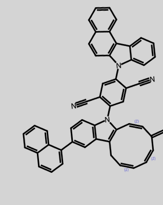 C=C1/C=C\C=C/Cc2c(n(-c3cc(C#N)c(-n4c5ccccc5c5c6ccccc6ccc54)cc3C#N)c3ccc(-c4cccc5ccccc45)cc23)/C=C\1